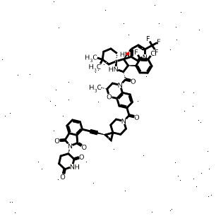 C[C@@H]1CN(C(=O)[C@@H]2N[C@]3(CCCC(C)(C)C3)[C@@]3(CNc4cc(C(F)(F)F)ncc43)[C@H]2c2cccc(Cl)c2F)c2ccc(C(=O)N3CCC4(CC3)C[C@H]4C#Cc3cccc4c3C(=O)N([C@H]3CCC(=O)NC3=O)C4=O)cc2O1